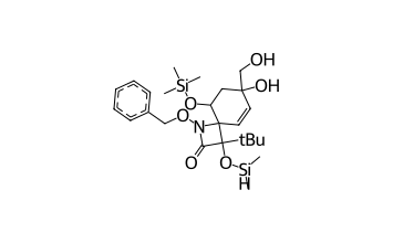 C[SiH](C)OC1(C(C)(C)C)C(=O)N(OCc2ccccc2)C12C=CC(O)(CO)CC2O[Si](C)(C)C